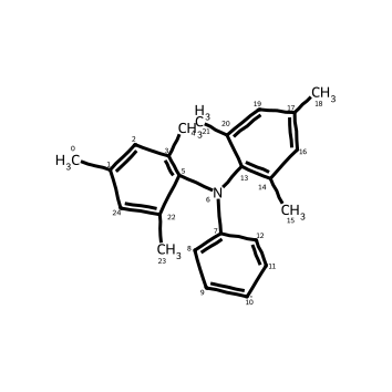 Cc1cc(C)c(N(c2cc[c]cc2)c2c(C)cc(C)cc2C)c(C)c1